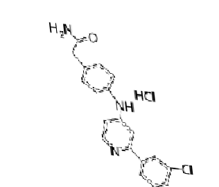 Cl.NC(=O)Cc1ccc(Nc2ccnc(-c3cccc(Cl)c3)c2)cc1